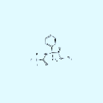 COC(=O)C(C)(NC(=O)C(F)(F)F)c1ccccc1